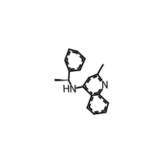 Cc1cc(N[C@@H](C)c2ccccc2)c2ccccc2n1